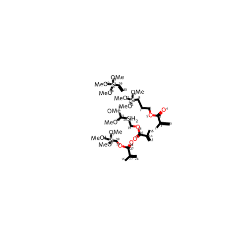 C=C(C)C(=O)OCCC[Si](OC)(OC)OC.C=C(C)C(=O)OC[SiH2]C(OC)OC.C=C(C)C(=O)OC[Si](OC)(OC)OC.C=C[Si](OC)(OC)OC